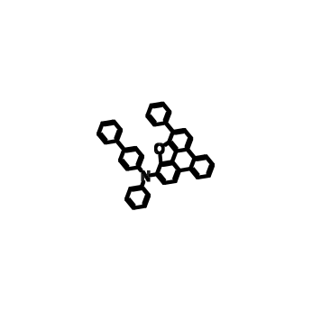 c1ccc(-c2ccc(N(c3ccccc3)c3ccc4c5ccccc5c5ccc(-c6ccccc6)c6oc3c4c65)cc2)cc1